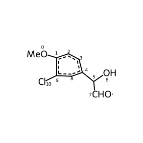 COc1ccc(C(O)[C]=O)cc1Cl